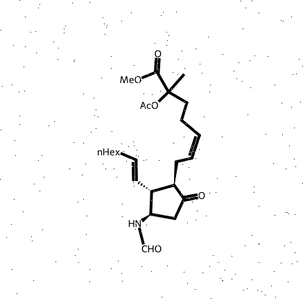 CCCCCC/C=C/[C@H]1[C@H](NC=O)CC(=O)[C@@H]1C/C=C\CCC(C)(OC(C)=O)C(=O)OC